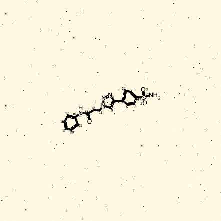 NS(=O)(=O)c1ccc(-c2cn(CCC(=O)Nc3ccccc3)nn2)cc1